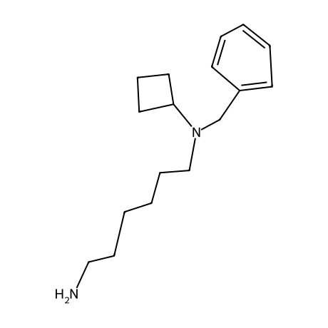 NCCCCCCN(Cc1ccccc1)C1CCC1